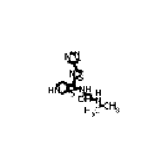 CC(C)NCCC(O)Nc1sc2c(c1-c1nc(-c3cncnc3)cs1)CCNC2